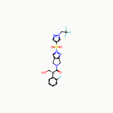 O=C([C@H](CO)c1ccccc1F)N1Cc2cn(S(=O)(=O)c3cnn(CC(F)(F)F)c3)nc2C1